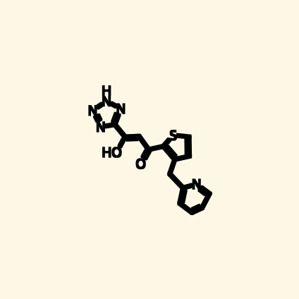 O=C(C=C(O)c1nn[nH]n1)c1sccc1Cc1ccccn1